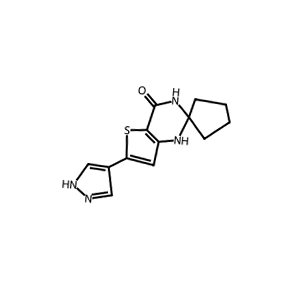 O=C1NC2(CCCC2)Nc2cc(-c3cn[nH]c3)sc21